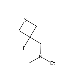 CCN(C)CC1(I)CSC1